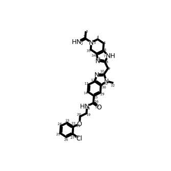 CC(=N)N1CCc2[nH]c(Cc3nc4ccc(C(=O)NCCOc5ccccc5Cl)cc4n3C)nc2C1